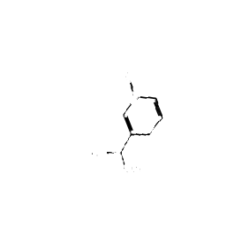 CCC[C@H](NC)C1=CN(C)C=CC1